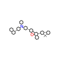 CC1(C)c2ccccc2-c2ccc(-c3cc4c5ccc(-c6ccc(N(c7ccccc7)c7ccc(-c8cccc9ccccc89)cc7)cc6)cc5oc4c4ccccc34)cc21